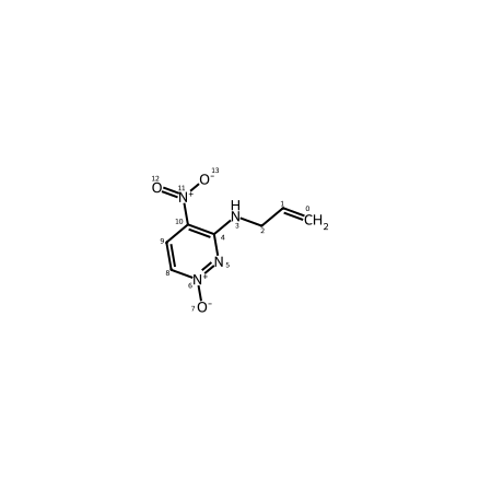 C=CCNc1n[n+]([O-])ccc1[N+](=O)[O-]